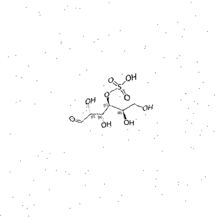 O=C[C@H](O)[C@@H](O)[C@@H](OS(=O)(=O)O)[C@H](O)CO